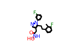 Cc1c(F)cccc1CCc1c(CC(=O)NO)cnn1-c1cccc(F)c1